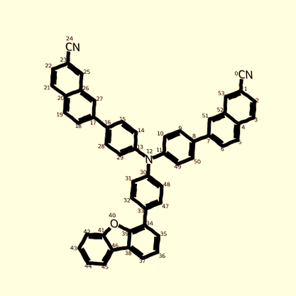 N#Cc1ccc2ccc(-c3ccc(N(c4ccc(-c5ccc6ccc(C#N)cc6c5)cc4)c4ccc(-c5cccc6c5oc5ccccc56)cc4)cc3)cc2c1